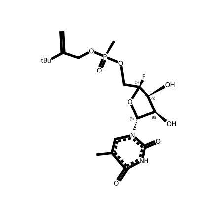 C=C(COP(C)(=O)OC[C@@]1(F)O[C@@H](n2cc(C)c(=O)[nH]c2=O)[C@H](O)[C@@H]1O)C(C)(C)C